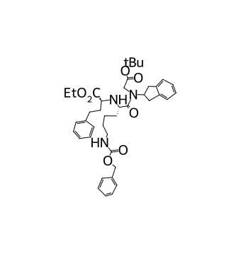 CCOC(=O)[C@H](CCc1ccccc1)N[C@@H](CCCCNC(=O)OCc1ccccc1)C(=O)N(CC(=O)OC(C)(C)C)C1Cc2ccccc2C1